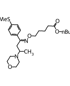 CCCCOC(=O)CCCCON=C(CC(C)N1CCOCC1)c1ccc(SC)cc1